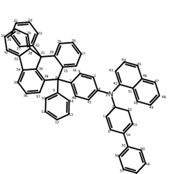 C1=CC(N(c2ccc(C3(c4ccccc4)c4ccccc4C4(c5ccccc5)c5ccccc5-c5cccc3c54)cc2)c2cccc3ccccc23)CC=C1c1ccccc1